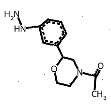 CC(=O)N1CCOC(c2cccc(NN)c2)C1